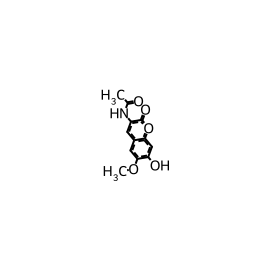 COc1cc2cc(NC(C)=O)c(=O)oc2cc1O